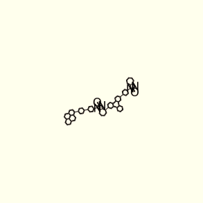 O=c1nc2cccccc-2n1-c1ccc(-c2ccc3c4ccc(-c5ccccc6n(-c7ccc(-c8ccc(-c9ccc%10ccc%11cccc%12ccc9c%10c%11%12)cc8)cc7)c(=O)nc5-6)cc4c4ccccc4c3c2)cc1